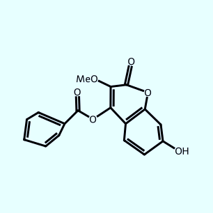 COc1c(OC(=O)c2ccccc2)c2ccc(O)cc2oc1=O